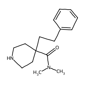 CN(C)C(=O)C1(CCc2ccccc2)CCNCC1